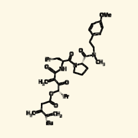 C=C(CC(=O)O[C@H](C(=O)C(=C)C(=O)N[C@@H](CC(C)C)C(=O)N1CCC[C@H]1C(=O)N(C)CCc1ccc(OC)cc1)C(C)C)C(=C)[C@@H](C)CC